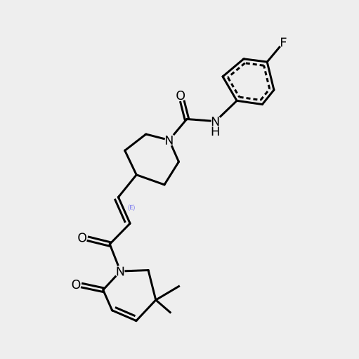 CC1(C)C=CC(=O)N(C(=O)/C=C/C2CCN(C(=O)Nc3ccc(F)cc3)CC2)C1